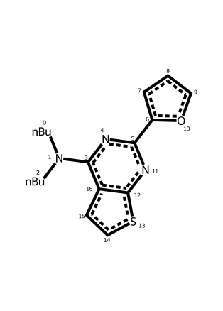 CCCCN(CCCC)c1nc(-c2ccco2)nc2sccc12